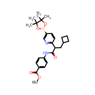 CC(C)(C)OC(=O)c1ccc(NC(=O)C(CC2CCC2)c2ccc(B3OC(C)(C)C(C)(C)O3)cn2)cc1